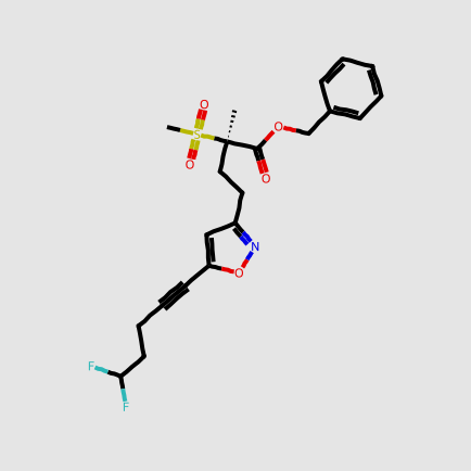 C[C@@](CCc1cc(C#CCCC(F)F)on1)(C(=O)OCc1ccccc1)S(C)(=O)=O